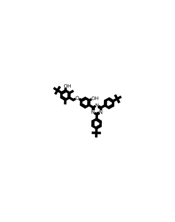 Cc1cc(C(C)(C)C)c(O)c(C)c1COc1ccc(-c2nc(-c3ccc(C(C)(C)C)cc3)nc(-c3ccc(C(C)(C)C)cc3)n2)c(O)c1